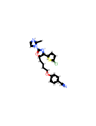 Cc1nccn1-c1nc(-c2ccc(Cl)s2)c(CCCCOc2ccc(C#N)cc2)o1